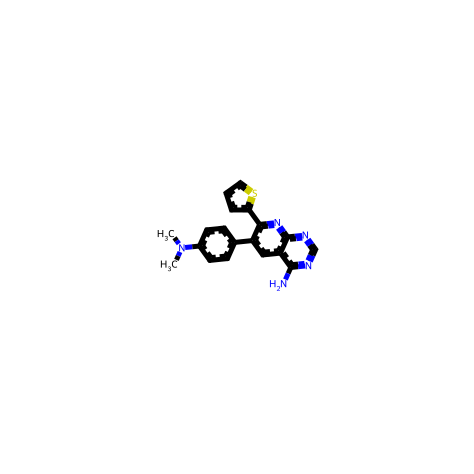 CN(C)c1ccc(-c2cc3c(N)ncnc3nc2-c2cccs2)cc1